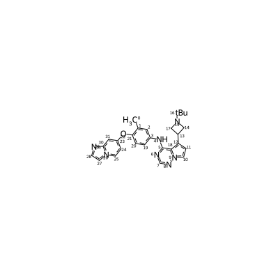 Cc1cc(Nc2ncnn3ccc(C4CN(C(C)(C)C)C4)c23)ccc1Oc1ccn2ccnc2c1